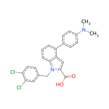 CN(C)c1ccc(-c2cccc3c2cc(C(=O)O)n3Cc2ccc(Cl)c(Cl)c2)cc1